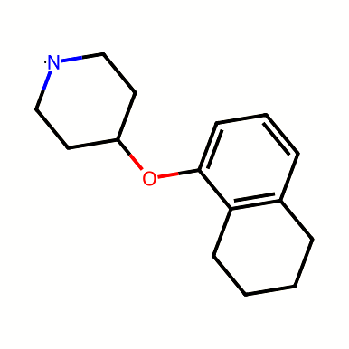 c1cc2c(c(OC3CC[N]CC3)c1)CCCC2